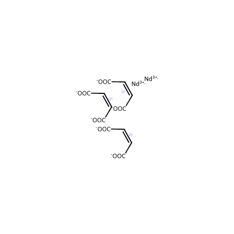 O=C([O-])/C=C\C(=O)[O-].O=C([O-])/C=C\C(=O)[O-].O=C([O-])/C=C\C(=O)[O-].[Nd+3].[Nd+3]